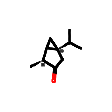 CC(C)[C@]12CC(=O)[C@H](C)C1C2